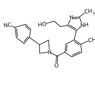 Cc1nc(CCO)c(-c2cc(C(=O)N3CC(c4ccc(C#N)cc4)C3)ccc2C)[nH]1